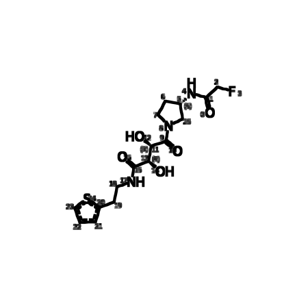 O=C(CF)N[C@H]1CCN(C(=O)[C@H](O)[C@@H](O)C(=O)NCCc2cccs2)C1